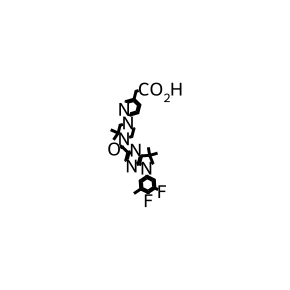 Cc1cc(N2CC(C)(C)c3nc(C(=O)N4CCN(c5ccc(CC(=O)O)cn5)CC4(C)C)cnc32)cc(F)c1F